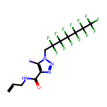 C=CCNC(=O)c1nnn(CC(F)(F)C(F)(F)C(F)(F)C(F)(F)C(F)(F)C(F)(F)F)c1I